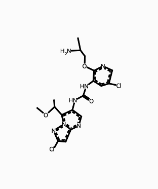 COC(C)c1c(NC(=O)Nc2cc(Cl)cnc2OCC(C)N)cnc2cc(Cl)nn12